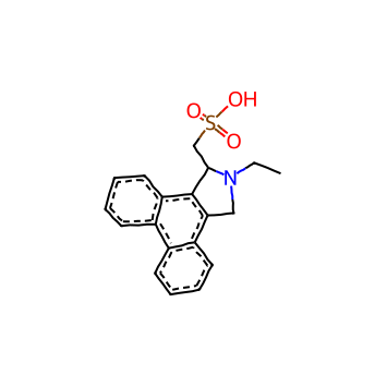 CCN1Cc2c(c3ccccc3c3ccccc23)C1CS(=O)(=O)O